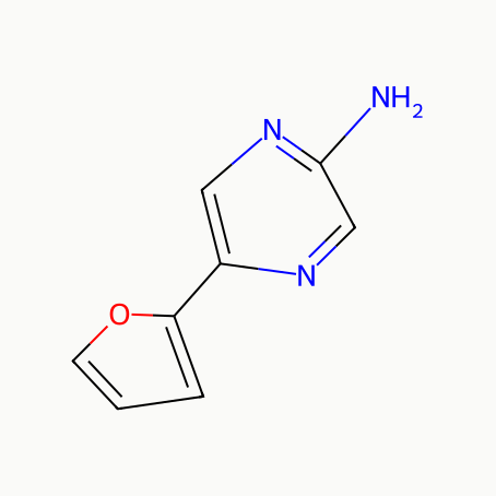 Nc1cnc(-c2ccco2)cn1